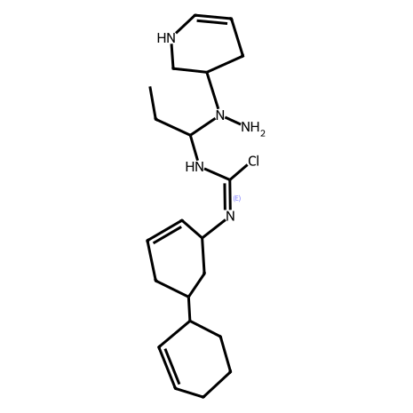 CCC(N/C(Cl)=N\C1C=CCC(C2C=CCCC2)C1)N(N)C1CC=CNC1